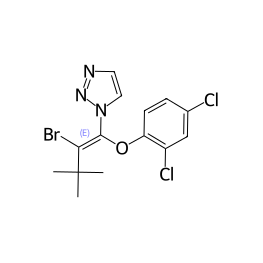 CC(C)(C)/C(Br)=C(\Oc1ccc(Cl)cc1Cl)n1ccnn1